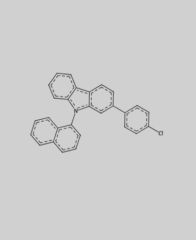 Clc1ccc(-c2ccc3c4ccccc4n(-c4cccc5ccccc45)c3c2)cc1